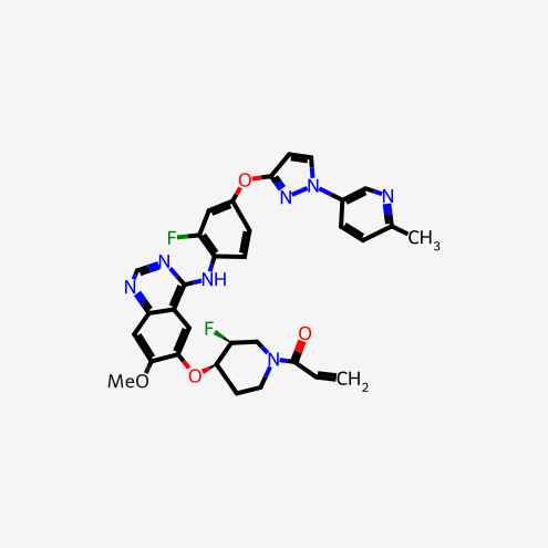 C=CC(=O)N1CC[C@@H](Oc2cc3c(Nc4ccc(Oc5ccn(-c6ccc(C)nc6)n5)cc4F)ncnc3cc2OC)[C@@H](F)C1